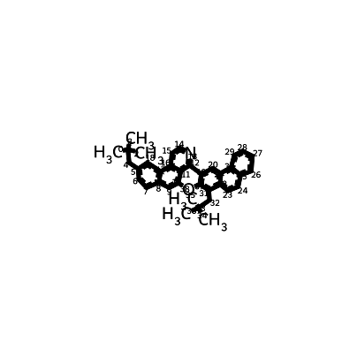 CC(C)(C)Cc1ccc2cc3c4c(nccc4c2c1)-c1cc2c(ccc4ccccc42)c(CC(C)(C)C)c1O3